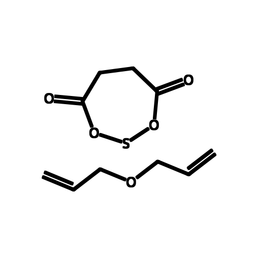 C=CCOCC=C.O=C1CCC(=O)OSO1